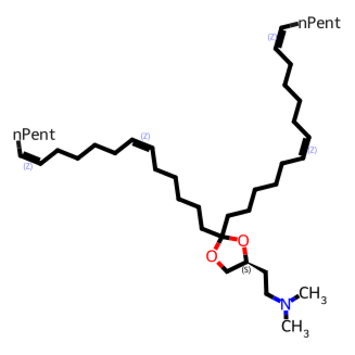 CCCCC/C=C\CCCC/C=C\CCCCCC1(CCCCC/C=C\CCCC/C=C\CCCCC)OC[C@H](CCN(C)C)O1